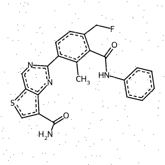 Cc1c(-c2ncc3scc(C(N)=O)c3n2)ccc(CF)c1C(=O)Nc1ccccc1